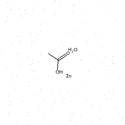 CC(=O)O.O.[Zn]